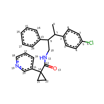 CC(c1ccc(Cl)cc1)C(CNC(=O)C1(c2cccnc2)CC1)c1ccccc1